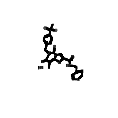 Cc1c(=O)n(Cc2ccc(S(C)(=O)=O)cc2)c(=O)n2cc(C(=O)NCc3ccncc3)sc12.Cl